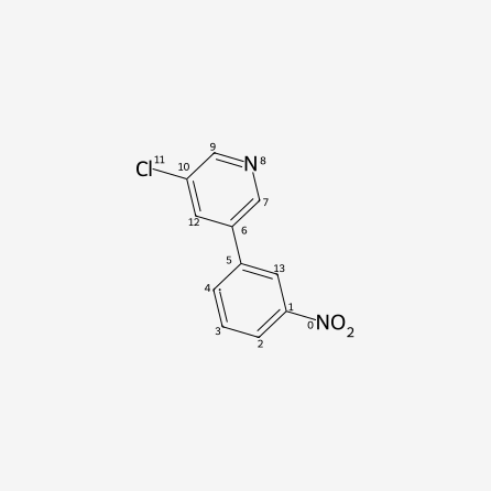 O=[N+]([O-])c1cc[c]c(-c2cncc(Cl)c2)c1